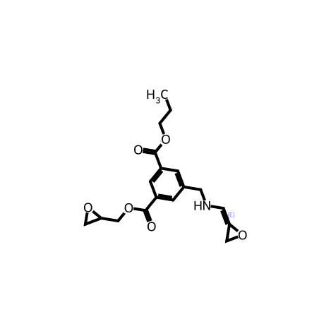 CCCOC(=O)c1cc(CN/C=C2\CO2)cc(C(=O)OCC2CO2)c1